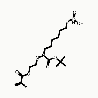 C=C(C)C(=O)OCCNN(CCCCCCO[PH](=O)O)C(=O)OC(C)(C)C